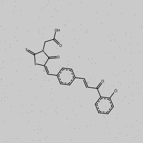 O=C(O)CN1C(=O)/C(=C\c2ccc(/C=C/C(=O)c3ccccc3Cl)cc2)SC1=S